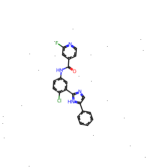 O=C(Nc1ccc(Cl)c(-c2ncc(-c3ccccc3)[nH]2)c1)c1ccnc(F)c1